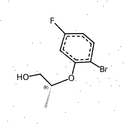 C[C@H](CO)Oc1cc(F)ccc1Br